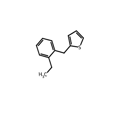 CCc1ccccc1Cc1cccs1